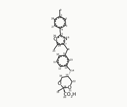 Cc1ccc(-c2nc(Cc3cccc(C[C@H]4CO[C@](C)(C(=O)O)OC4)c3)c(C)o2)cc1